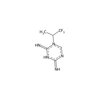 CC(n1cnc(=N)[nH]c1=N)C(F)(F)F